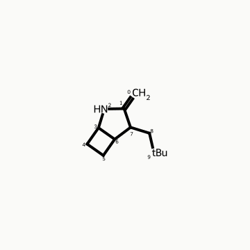 C=C1NC2CCC2C1CC(C)(C)C